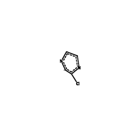 Clc1[c]nccn1